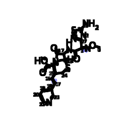 CO/N=C(/C(=O)NC1C(=O)N2C(C(=O)O)=C(/C=C/c3cccnc3)CS[C@H]12)c1nsc(N)n1